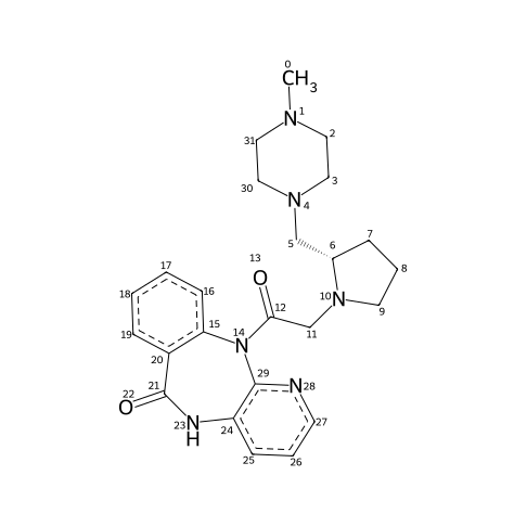 CN1CCN(C[C@@H]2CCCN2CC(=O)N2c3ccccc3C(=O)Nc3cccnc32)CC1